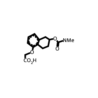 CNC(=O)OC1CCc2c(cccc2OCC(=O)O)C1